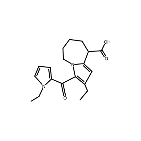 CCc1cc2n(c1C(=O)c1cccn1CC)CCCCC2C(=O)O